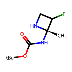 CC(C)(C)OC(=O)N[C@]1(C)NCC1F